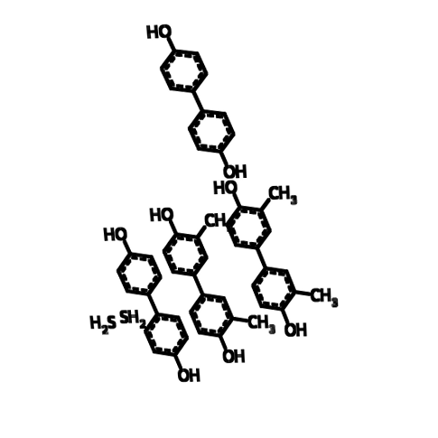 Cc1cc(-c2ccc(O)c(C)c2)ccc1O.Cc1cc(-c2ccc(O)c(C)c2)ccc1O.Oc1ccc(-c2ccc(O)cc2)cc1.Oc1ccc(-c2ccc(O)cc2)cc1.S.S